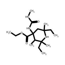 CCOC(=O)C1(NC(=O)NC)CC(C)(CC)NC(C)(CC)C1C